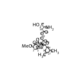 COc1cccc(C(=O)N(C(=O)OCOC(=O)CC(N)C(=O)O)N(C(=O)c2cc(C)cc(C)c2)C(C)(C)C)c1C